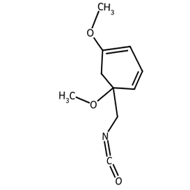 COC1=CC=CC(CN=C=O)(OC)C1